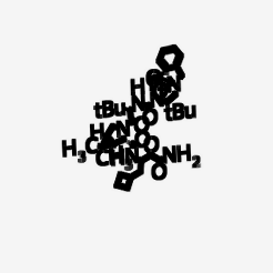 CC(C)(C)[C@H](NC(=O)N[C@H](CN1Cc2ccccc2S1(=O)=O)C(C)(C)C)C(=O)N1C[C@H]2[C@@H]([C@H]1C(=O)NC(CC1CCC1)C(=O)C(N)=O)C2(C)C